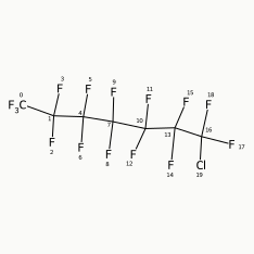 FC(F)(F)C(F)(F)C(F)(F)C(F)(F)C(F)(F)C(F)(F)C(F)(F)Cl